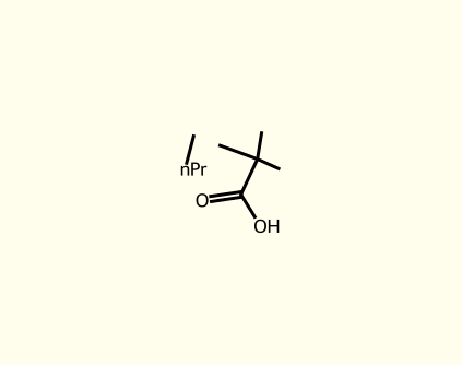 CC(C)(C)C(=O)O.CCCC